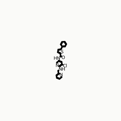 O=C(Nc1cnc(NCc2ccccn2)c(Cl)c1)c1ccc(-c2ccccc2)s1